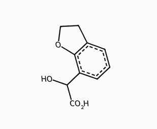 O=C(O)C(O)c1cccc2c1OCC2